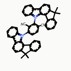 CC1(C)c2ccccc2-c2c1ccc1c3ccccc3n(-c3ccc(C#N)c(-n4c5ccccc5c5ccc6c(c54)-c4ccccc4C6(C)C)c3C#N)c21